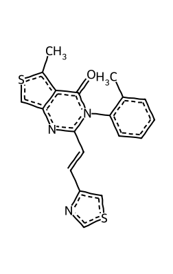 Cc1ccccc1-n1c(C=Cc2cscn2)nc2csc(C)c2c1=O